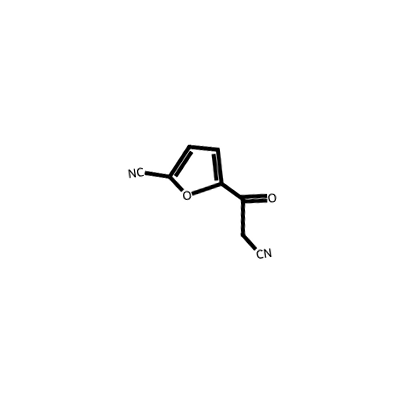 N#CCC(=O)c1ccc(C#N)o1